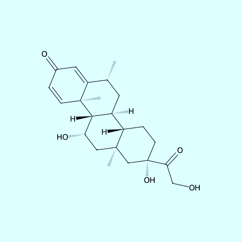 C[C@@H]1C[C@@H]2[C@H]([C@@H](O)C[C@]3(C)C[C@](O)(C(=O)CO)CC[C@@H]23)[C@@]2(C)C=CC(=O)C=C12